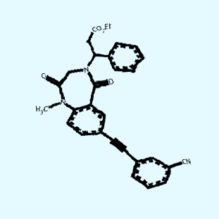 CCOC(=O)CC(c1ccccc1)N1CC(=O)N(C)c2ccc(C#Cc3cccc(C#N)c3)cc2C1=O